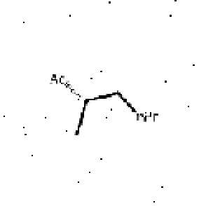 [CH2]C(=O)[C@@H](C)CCCC